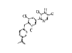 C=C(C)c1ccc(Cc2c(Cl)cc(-n3ncc(=O)[nH]c3=O)cc2Cl)cc1